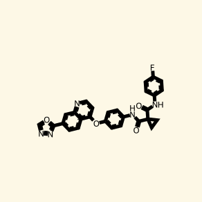 O=C(Nc1ccc(F)cc1)C1(C(=O)Nc2ccc(Oc3ccnc4cc(-c5nnco5)ccc34)cc2)CC1